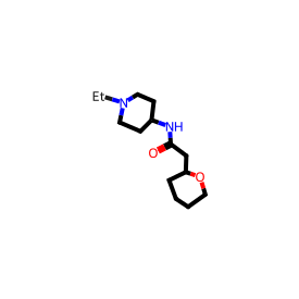 CCN1CCC(NC(=O)CC2CCCCO2)CC1